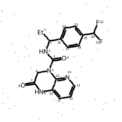 CCC(NC(=O)N1CC(=O)Nc2cccnc21)c1ccc(C(F)F)cc1